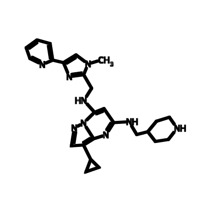 Cn1cc(-c2ccccn2)nc1CNc1cc(NCC2CCNCC2)nc2c(C3CC3)cnn12